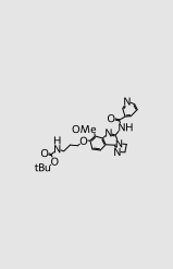 COc1c(OCCCNC(=O)OC(C)(C)C)ccc2c1N=C(NC(=O)c1cccnc1)N1CCN=C21